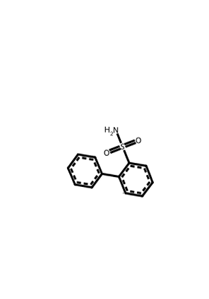 NS(=O)(=O)c1ccc[c]c1-c1ccccc1